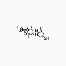 Cc1c(Nc2ccc(S)cc2Cl)ncnc1O[C@H]1CC2CCC1N2C(=O)OC(C)C